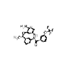 CC(Oc1cc(Cl)cnc1N)c1cccc(NC(=O)c2cccc(OC(F)(F)F)c2)c1